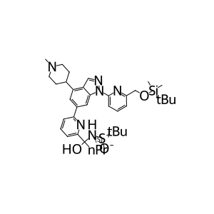 CCCC(O)(N[S@+]([O-])C(C)(C)C)c1cccc(-c2cc(C3CCN(C)CC3)c3cnn(-c4cccc(CO[Si](C)(C)C(C)(C)C)n4)c3c2)n1